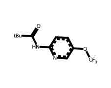 CC(C)(C)C(=O)Nc1ccc(OC(F)(F)F)cn1